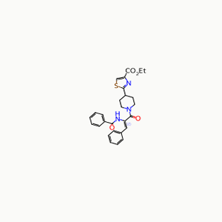 CCOC(=O)c1csc(C2CCN(C(=O)/C(=C/c3ccccc3)NC(=O)c3ccccc3)CC2)n1